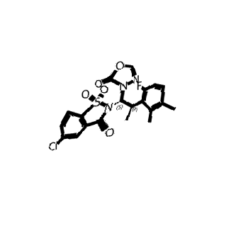 Cc1ccc(F)c([C@@H](C)[C@H](N2C(=O)c3cc(Cl)ccc3S2(=O)=O)n2ncoc2=O)c1C